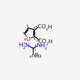 CCCCC(N)N.O=C(O)c1ccoc1C(=O)O